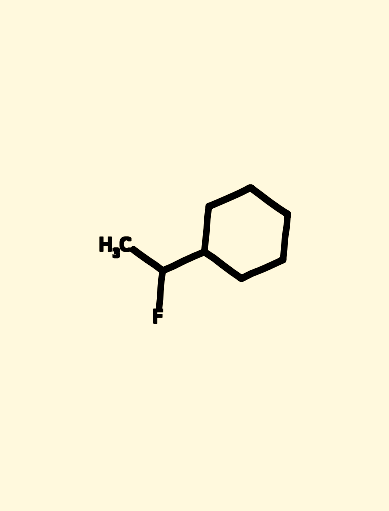 CC(F)C1CCCCC1